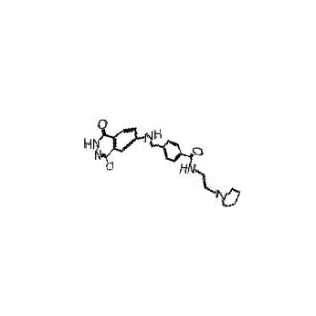 O=C(NCCN1CCCC1)c1ccc(CNc2ccc3c(=O)[nH]nc(Cl)c3c2)cc1